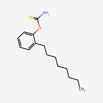 CCCCCCCCc1ccccc1OC(N)=S